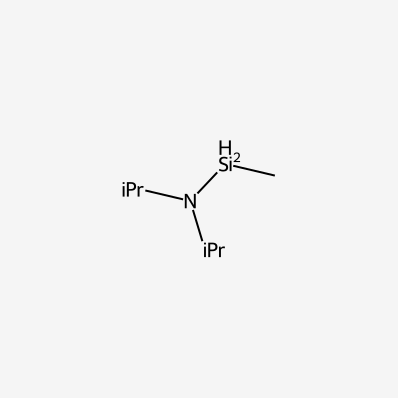 C[SiH2]N(C(C)C)C(C)C